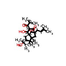 CC(C)=CCC12C[C@H]3C(C)(C)[C@H](C(C)(C)O)C[C@@]3(C(O)=C(C(=O)C(C)C)C1=O)C2O